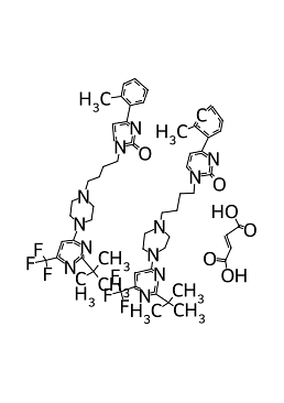 Cc1ccccc1-c1ccn(CCCCN2CCN(c3cc(C(F)(F)F)nc(C(C)(C)C)n3)CC2)c(=O)n1.Cc1ccccc1-c1ccn(CCCCN2CCN(c3cc(C(F)(F)F)nc(C(C)(C)C)n3)CC2)c(=O)n1.O=C(O)C=CC(=O)O